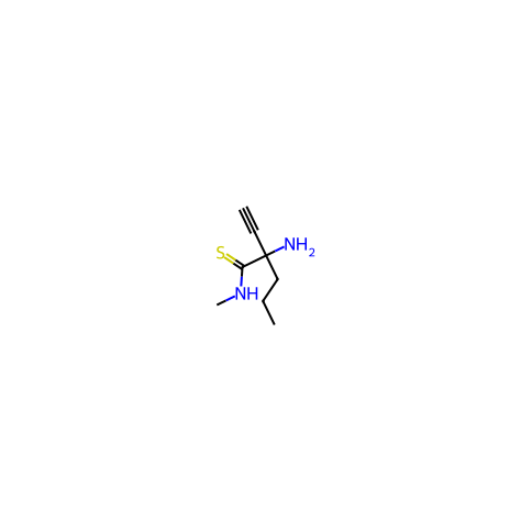 C#CC(N)(CCC)C(=S)NC